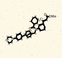 COC(=O)/C=C(\C)c1cccc(N(CC23CCC(c4ccc(N5CCOCC5)cc4)(CC2)CC3)C(=O)C2CCCCC2)c1